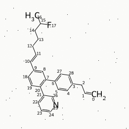 C=CCc1ccc(-c2cc(C=CCCCC(C)F)ccc2-c2cccnc2)cc1